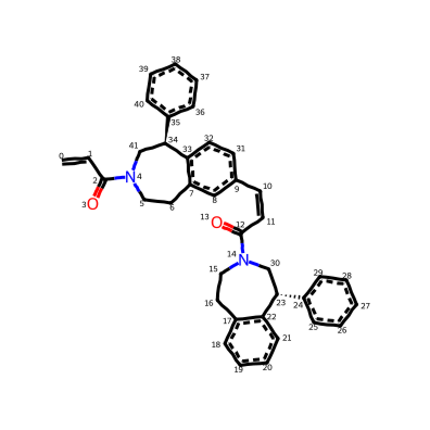 C=CC(=O)N1CCc2cc(/C=C\C(=O)N3CCc4ccccc4[C@@H](c4ccccc4)C3)ccc2[C@H](c2ccccc2)C1